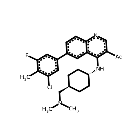 CC(=O)c1cnc2ccc(-c3cc(F)c(C)c(Cl)c3)cc2c1N[C@H]1CC[C@H](CN(C)C)CC1